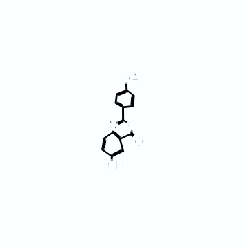 CC(=O)Oc1ccc(-c2nc3ccc(C)cc3c(=O)o2)cc1